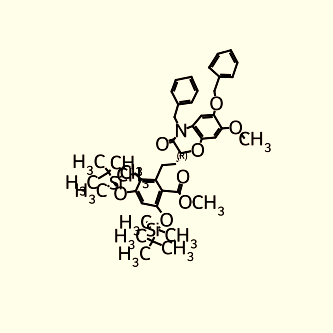 COC(=O)c1c(O[Si](C)(C)C(C)(C)C)cc(O[Si](C)(C)C(C)(C)C)c(Cl)c1CC[C@H]1Oc2cc(OC)c(OCc3ccccc3)cc2N(Cc2ccccc2)C1=O